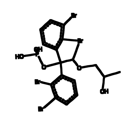 CC(O)COC(C)C(OP(O)O)(c1cccc(Br)c1Br)c1cccc(Br)c1Br